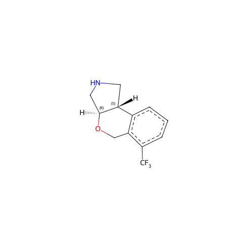 FC(F)(F)c1cccc2c1CO[C@H]1CNC[C@H]21